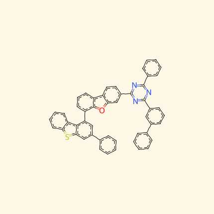 c1ccc(-c2cccc(-c3nc(-c4ccccc4)nc(-c4ccc5c(c4)oc4c(-c6cc(-c7ccccc7)cc7sc8ccccc8c67)cccc45)n3)c2)cc1